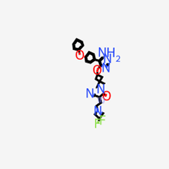 N#C/C(=C\CN1CC(F)(F)C1)C(=O)N1CC2(CC(Oc3ncnc(N)c3-c3ccc(Oc4ccccc4)cc3)C2)C1